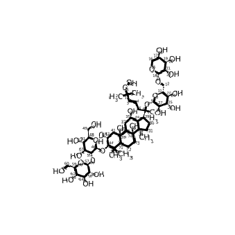 CC(C)(/C=C/CC(C)(O[C@@H]1O[C@H](CO[C@@H]2OC[C@@H](O)[C@H](O)[C@H]2O)[C@@H](O)[C@H](O)[C@H]1O)[C@H]1CC[C@]2(C)C1[C@H](O)CC1[C@@]3(C)C[C@@H](O)[C@H](O[C@@H]4O[C@H](CO)[C@@H](O)[C@H](O)[C@H]4O[C@@H]4O[C@H](CO)[C@@H](O)[C@H](O)[C@H]4O)C(C)(C)C3CC[C@]12C)OO